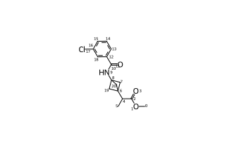 COC(=O)C(C)C12CC(NC(=O)c3cccc(Cl)c3)(C1)C2